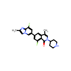 Cc1cn2cc(-c3cc(F)c4c(=O)n(C5CCNCC5)cc(C)c4c3)cc(F)c2n1